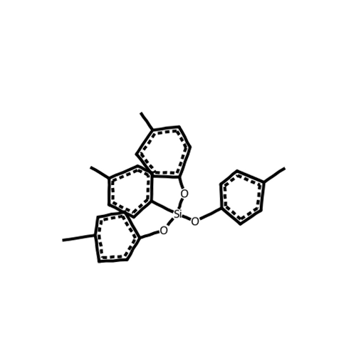 Cc1ccc(O[Si](Oc2ccc(C)cc2)(Oc2ccc(C)cc2)c2ccc(C)cc2)cc1